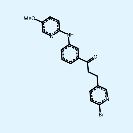 COc1ccc(Nc2cccc(C(=O)CCc3ccc(Br)nc3)c2)nc1